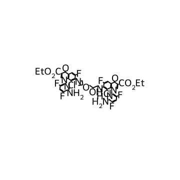 CCOC(=O)c1cn(-c2nc(N)c(F)cc2F)c2c(Cl)c(NCC(O)COC3CN(c4c(F)cc5c(=O)c(C(=O)OCC)cn(-c6nc(N)c(F)cc6F)c5c4Cl)C3)c(F)cc2c1=O